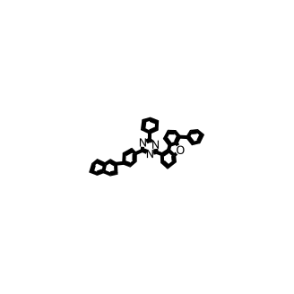 c1ccc(-c2nc(-c3ccc(-c4ccc5ccccc5c4)cc3)nc(-c3cccc4oc5c(-c6ccccc6)cccc5c34)n2)cc1